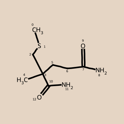 CSCC(C)(CCC(N)=O)C(N)=O